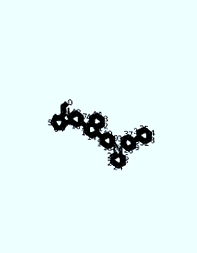 CCn1c2ccccc2c2cc(-c3ccc(-c4ccc(N(c5ccccc5)c5ccc(-c6ccccc6)cc5)cc4)c4ccccc34)ccc21